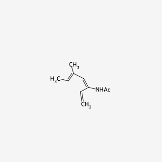 C=C/C(=C\C(C)=CC)NC(C)=O